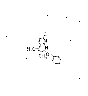 Cc1c(OCc2ccccc2)nc2nc(Cl)ccc2c1C